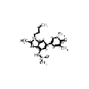 CCCCn1c(C)nc2c(N[S+](C)[O-])cc(-c3cc(C)c(=O)n(C)c3)cc21